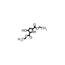 CCOC(=O)C1CC(O)C(C(=O)OCC)N1